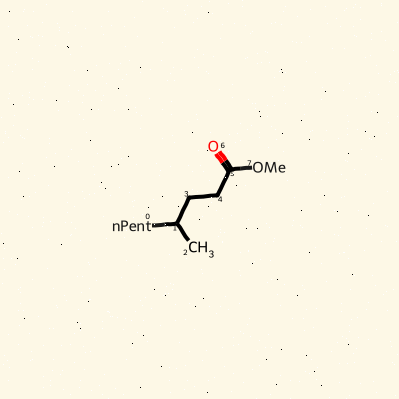 CCCCCC(C)CCC(=O)OC